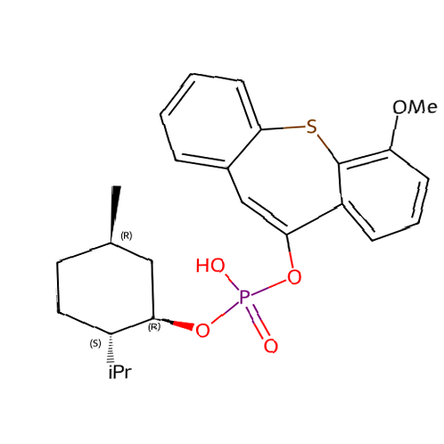 COc1cccc2c1Sc1ccccc1C=C2OP(=O)(O)O[C@@H]1C[C@H](C)CC[C@H]1C(C)C